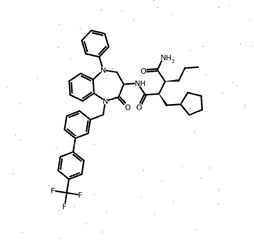 CCC[C@H](C(N)=O)[C@@H](CC1CCCC1)C(=O)NC1CN(c2ccccc2)c2ccccc2N(Cc2cccc(-c3ccc(C(F)(F)F)cc3)c2)C1=O